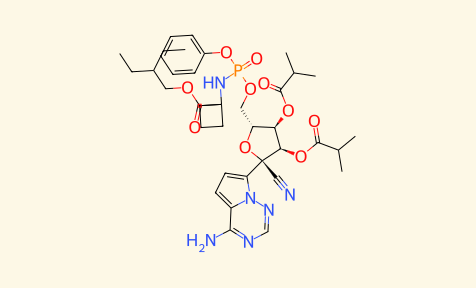 CCC(CC)COC(=O)C1(NP(=O)(OC[C@H]2O[C@@](C#N)(c3ccc4c(N)ncnn34)[C@H](OC(=O)C(C)C)[C@@H]2OC(=O)C(C)C)Oc2ccccc2)CCC1